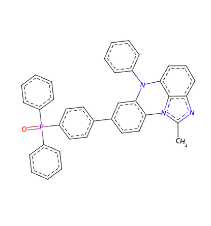 Cc1nc2cccc3c2n1-c1ccc(-c2ccc(P(=O)(c4ccccc4)c4ccccc4)cc2)cc1N3c1ccccc1